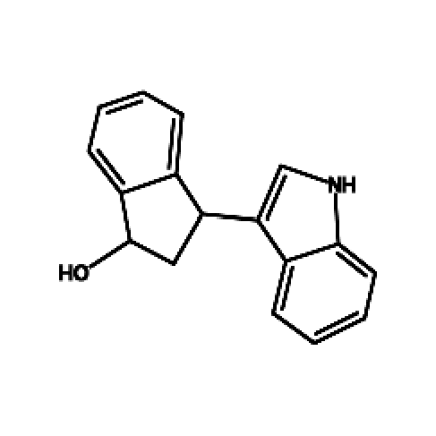 OC1CC(c2c[nH]c3ccccc23)c2ccccc21